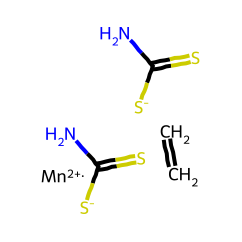 C=C.NC(=S)[S-].NC(=S)[S-].[Mn+2]